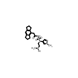 CC(=O)N(C)CCN(c1cnn(C)c1)S(=O)(=O)NC(=O)Cc1c2c(cc3c1CCC3)CCC2